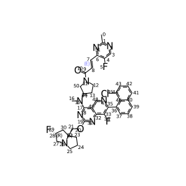 Cc1ncc(F)c(/C=C/C(=O)N2CC[C@@H](N(C)c3nc(OC[C@@]45CCCN4C[C@H](F)C5)nc4c(F)c(-c5cccc6cccc(Cl)c56)ncc34)C2)n1